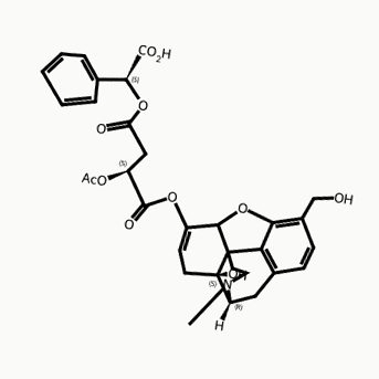 CC(=O)O[C@@H](CC(=O)O[C@H](C(=O)O)c1ccccc1)C(=O)OC1=CC[C@@]2(O)[C@H]3Cc4ccc(CO)c5c4C2(CCN3C)C1O5